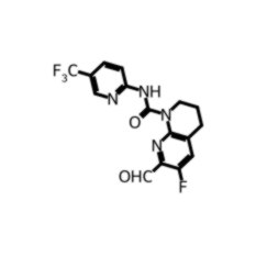 O=Cc1nc2c(cc1F)CCCN2C(=O)Nc1ccc(C(F)(F)F)cn1